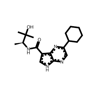 C[C@H](NC(=O)c1c[nH]c2ncc(C3CCCCC3)nc12)C(C)(C)O